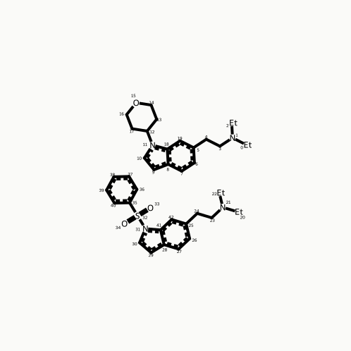 CCN(CC)CCc1ccc2ccn(C3CCOCC3)c2c1.CCN(CC)CCc1ccc2ccn(S(=O)(=O)c3ccccc3)c2c1